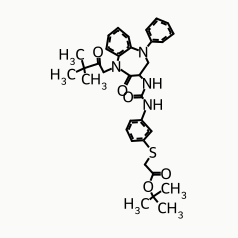 CC(C)(C)OC(=O)CSc1cccc(NC(=O)NC2CN(c3ccccc3)c3ccccc3N(CC(=O)C(C)(C)C)C2=O)c1